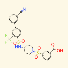 N#Cc1cccc(-c2ccc(S(=O)(=O)NC3CCN(S(=O)(=O)c4cccc(C(=O)O)c4)CC3)c(C(F)(F)F)c2)c1